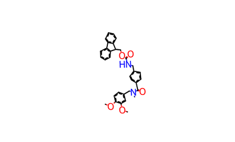 COc1ccc(CN(C)C(=O)c2ccc(CNC(=O)OCC3c4ccccc4-c4ccccc43)cc2)cc1OC